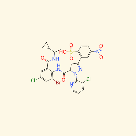 CC(NC(=O)c1cc(Cl)cc(Br)c1NC(=O)C1CC(c2cc([N+](=O)[O-])ccc2S(=O)(=O)O)=NN1c1ncccc1Cl)C1CC1